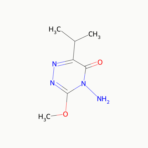 COc1nnc(C(C)C)c(=O)n1N